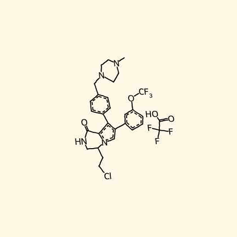 CN1CCN(Cc2ccc(-c3c(-c4cccc(OC(F)(F)F)c4)cn4c3C(=O)NCC4CCCl)cc2)CC1.O=C(O)C(F)(F)F